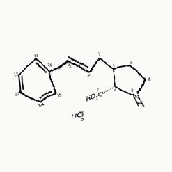 Cl.O=C(O)[C@H]1NCCC1CC=Cc1ccccc1